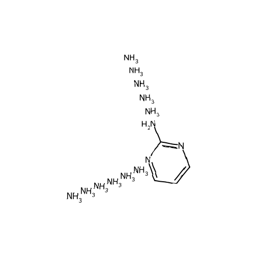 N.N.N.N.N.N.N.N.N.N.N.Nc1ncccn1